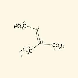 CC(=CC(=O)O)C(=O)O.I